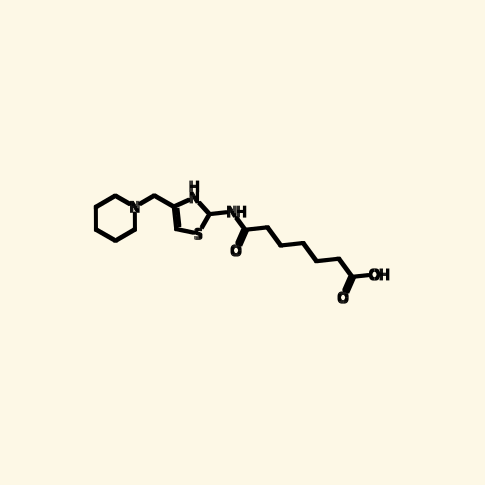 O=C(O)CCCCCC(=O)NC1NC(CN2CCCCC2)=CS1